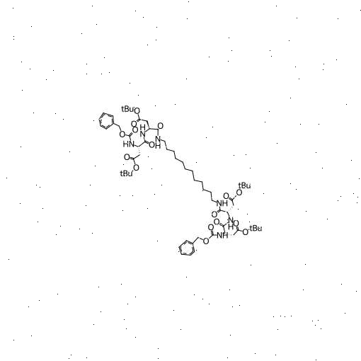 CC(C)(C)OC(=O)C[C@H](NC(=O)OCc1ccccc1)C(=O)N[C@@H](CC(=O)OC(C)(C)C)C(=O)NCCCCCCCCCCCCNC(=O)[C@H](CC(=O)OC(C)(C)C)NC(=O)[C@H](CC(=O)OC(C)(C)C)NC(=O)OCc1ccccc1